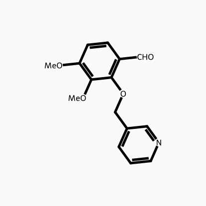 COc1ccc(C=O)c(OCc2cccnc2)c1OC